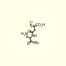 CC(C)(C)C(=O)C(CN)NC(=O)CC(SI)C(=O)O